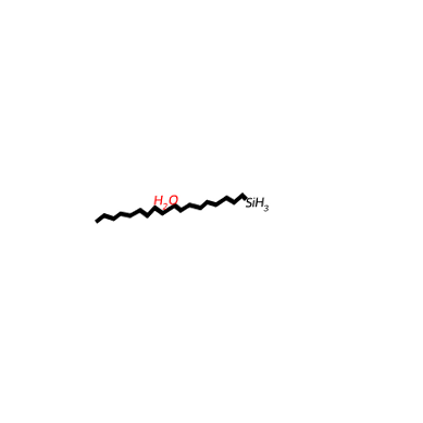 CCCCCCCCCCCCCCCCCC[SiH3].O